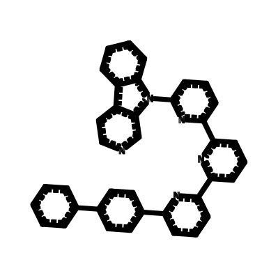 c1ccc(-c2ccc(-c3cccc(-c4cccc(-c5cccc(-n6c7ccccc7c7ccncc76)n5)n4)n3)cc2)cc1